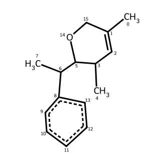 CC1=CC(C)C(C(C)c2ccccc2)OC1